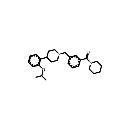 CC(C)Oc1ccccc1C1CCN(Cc2cccc(C(=O)N3CCCCC3)c2)CC1